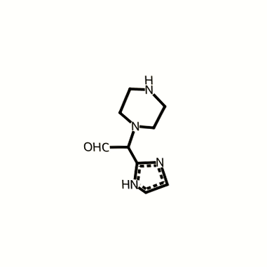 O=CC(c1ncc[nH]1)N1CCNCC1